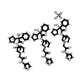 O=C(C[N+]12CCC(CC1)C(OC(=O)[C@](O)(c1ccccc1)C1CCCC1)C2)Nc1ccon1.O=C(C[N+]12CCC(CC1)C(OC(=O)[C@](O)(c1ccccc1)C1CCCC1)C2)Nc1ccon1.O=C(C[N+]12CCC(CC1)[C@@H](OC(=O)[C@](O)(c1ccccc1)C1CCCC1)C2)Nc1ccon1.O=P([O-])([O-])[O-]